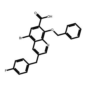 O=C(O)c1cc(Br)c2cc(Cc3ccc(F)cc3)cnc2c1OCc1ccccc1